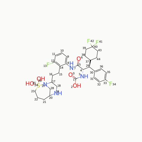 O=C(O)N[C@H](C(=O)Nc1cccc(F)c1CCC1CNC2CCCS(O)(O)N1C2)[C@H](c1ccc(F)cc1)C1CCC(F)(F)CC1